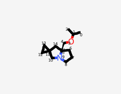 CC(C)OC[C@@]12CCCN1CC1(CC1)C2